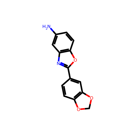 Nc1ccc2oc(-c3ccc4c(c3)OCO4)nc2c1